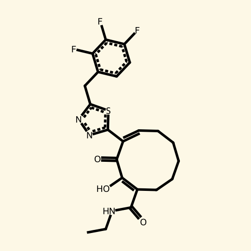 CCNC(=O)/C1=C(\O)C(=O)/C(c2nnc(Cc3ccc(F)c(F)c3F)s2)=C\CCCCC1